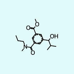 CCCN(C)C(=O)c1cc(C(=O)OC)cc(C(O)C(C)C)c1